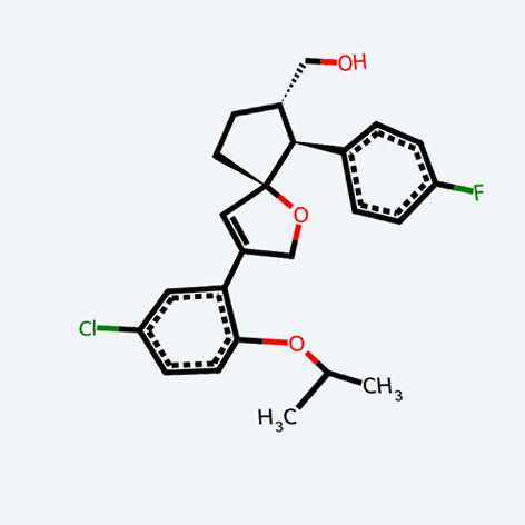 CC(C)Oc1ccc(Cl)cc1C1=C[C@@]2(CC[C@H](CO)[C@H]2c2ccc(F)cc2)OC1